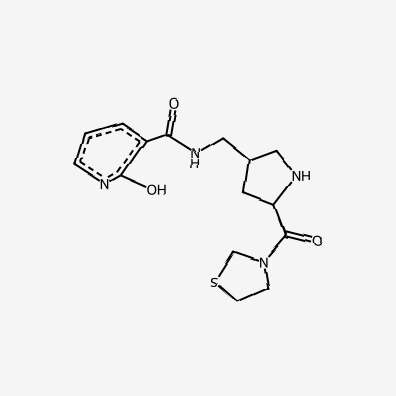 O=C(NCC1CNC(C(=O)N2CCSC2)C1)c1cccnc1O